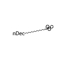 CCCCCCCCCCCCCCCCCCCCCCCCC/C=C/C(=O)Oc1ccccc1